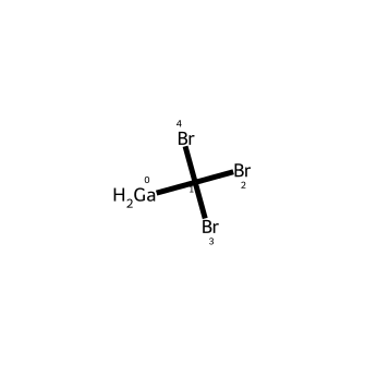 [GaH2][C](Br)(Br)Br